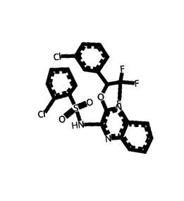 O=S(=O)(Nc1nc2ccccc2nc1OC(c1cccc(Cl)c1)C(F)(F)F)c1ccccc1Cl